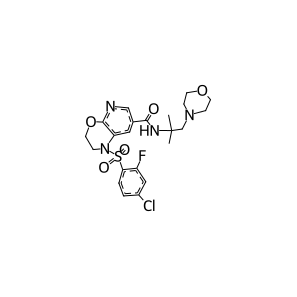 CC(C)(CN1CCOCC1)NC(=O)c1cnc2c(c1)N(S(=O)(=O)c1ccc(Cl)cc1F)CCO2